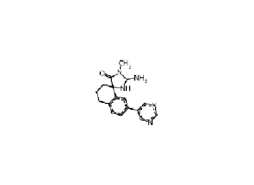 CN1C(=O)C2(CCCc3ccc(-c4cncnc4)cc32)NC1N